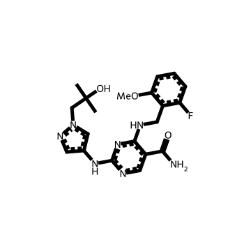 COc1cccc(F)c1CNc1nc(Nc2cnn(CC(C)(C)O)c2)ncc1C(N)=O